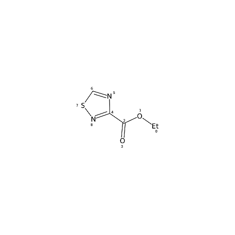 CCOC(=O)c1ncsn1